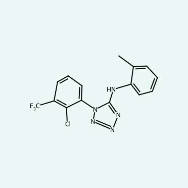 Cc1ccccc1Nc1nnnn1-c1cccc(C(F)(F)F)c1Cl